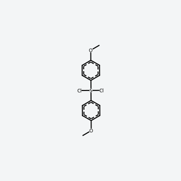 COc1ccc(S(Cl)(Cl)c2ccc(OC)cc2)cc1